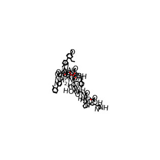 CCc1cc(OC)ccc1-c1ccc(C[C@H](NC(=O)[C@H](CC(=O)O)NC(=O)[C@H](CO)NC(=O)[C@@H](NC(=O)C(C)(Cc2ccccc2F)NC(=O)[C@@H](NC(=O)CNC(=O)[C@H](CCC(=O)O)NC(=O)C2(C)CCCN2C(=O)CCc2c[nH]cn2)[C@@H](C)O)[C@@H](C)O)C(=O)N[C@@H](Cc2ccc(-c3ccccc3C)nc2)C(N)=O)cc1